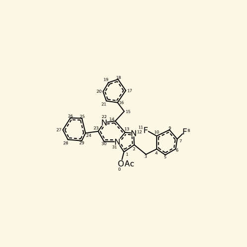 CC(=O)Oc1c(Cc2ccc(F)cc2F)nc2c(Cc3ccccc3)nc(-c3ccccc3)cn12